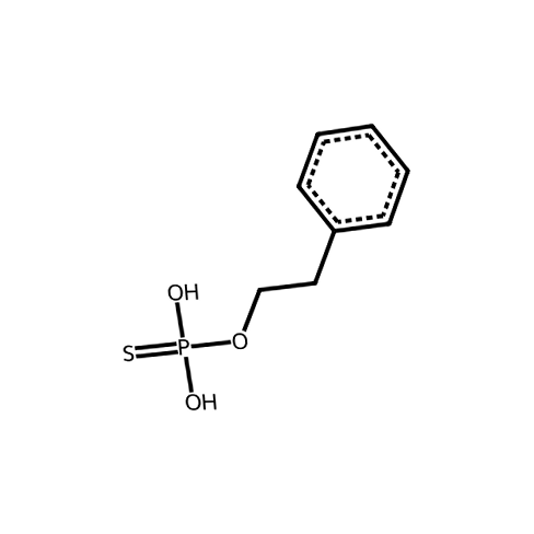 OP(O)(=S)OCCc1ccccc1